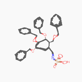 O=S(=O)(O)/N=C/C1C[C@H](OCc2ccccc2)[C@@H](OCc2ccccc2)[C@H](OCc2ccccc2)[C@H]1COCc1ccccc1